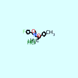 Cc1ccc(-c2cc(C)c(CN3CCOC(c4ccc(F)cc4)C3)o2)cc1.Cl.Cl